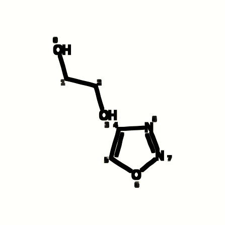 OCCO.c1conn1